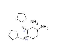 NC1CCC(=C/C2CCCC2)/C(=C/C2CCCC2)C1N